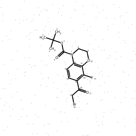 CC(C)(C)OC(=O)N1CCOc2c1ccc(C(=O)CBr)c2F